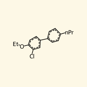 CCCc1ccc(-c2ccc(OCC)c(Cl)c2)cc1